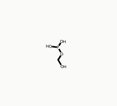 OCOP(O)O